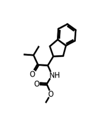 COC(=O)NC(C(=O)C(C)C)C1Cc2ccccc2C1